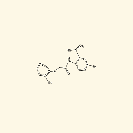 C=C(O)c1cc(Br)ccc1NC(=O)COc1ccccc1C(C)CC